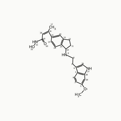 COc1ccc2c(CCNC3CCc4cc(/C(C)=C\C(=O)NO)ccc43)c[nH]c2c1